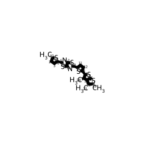 Cc1ccc(-c2nc3sc(-c4ccc(-c5sc6sc(C)c(C)c6c5C)s4)nc3s2)s1